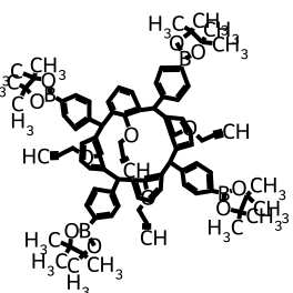 C#CCOc1c2cccc1C(c1ccc(B3OC(C)(C)C(C)(C)O3)cc1)c1cccc(c1OCC#C)C(c1ccc(B3OC(C)(C)C(C)(C)O3)cc1)c1cccc(c1OCC#C)C(c1ccc(B3OC(C)(C)C(C)(C)O3)cc1)c1cccc(c1OCC#C)C2c1ccc(B2OC(C)(C)C(C)(C)O2)cc1